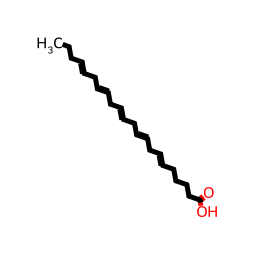 CCCC=CCC=CCC=CCC=CCC=CCCCCC(=O)O